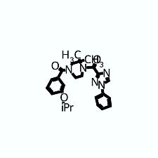 CC(C)Oc1cccc(C(=O)N2CCN(C(=O)c3ncn(-c4ccccc4)n3)C(C)(C)C2)c1